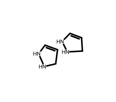 C1=CNNC1.C1=CNNC1